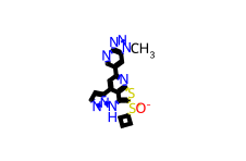 Cn1nnc2ncc(-c3cc4c5c(n3)sc([S+]([O-])C3CCC3)c5[nH]n3nccc43)cc21